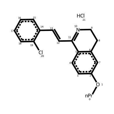 CCCOc1ccc2c(c1)CCN=C2C=Cc1ccccc1Cl.Cl